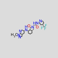 Cn1ncc2cc(Nc3cccc4c3C(=O)N(CC(=O)Nc3cc(C(F)(F)F)ccn3)C4)cnc21